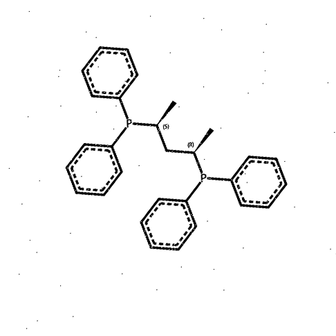 C[C@H](C[C@H](C)P(c1ccccc1)c1ccccc1)P(c1ccccc1)c1ccccc1